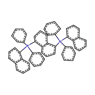 c1ccc([N+](c2ccccc2)(c2cccc3ccccc23)c2cccc3c([N+](c4ccccc4)(c4ccccc4)c4cccc5ccccc45)cccc23)cc1